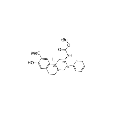 COc1cc2c(cc1O)CCN1C[C@@H](c3ccccc3)[C@H](NC(=O)OC(C)(C)C)C[C@H]21